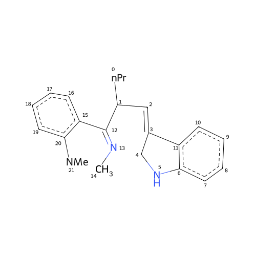 CCCC(/C=C1\CNc2ccccc21)/C(=N/C)c1ccccc1NC